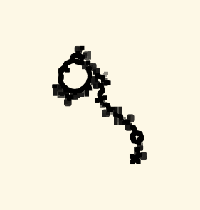 COc1cc2cc(c1Cl)N(C)C(=O)C[C@H](OC(=O)[C@H](C)N(C)C(=O)CCC(C)(C)SCC(=O)NCCNC(=O)OCc1ccc(SSC(=O)C(C)(C)C)cc1)[C@@]1(C)C[C@H]1[C@H](C)[C@@H]1C[C@@](O)(NC(=O)O1)[C@H](OC)/C=C/C=C(\C)C2